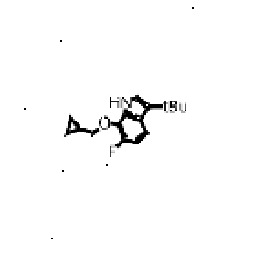 CC(C)(C)c1c[nH]c2c(OCC3CC3)c(F)ccc12